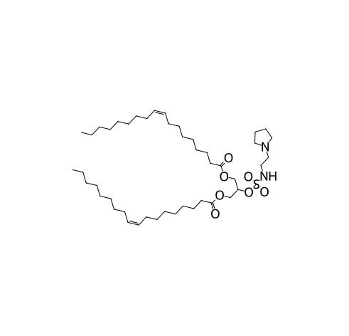 CCCCCCCC/C=C\CCCCCCCC(=O)OCC(COC(=O)CCCCCCC/C=C\CCCCCCCC)OS(=O)(=O)NCCN1CCCC1